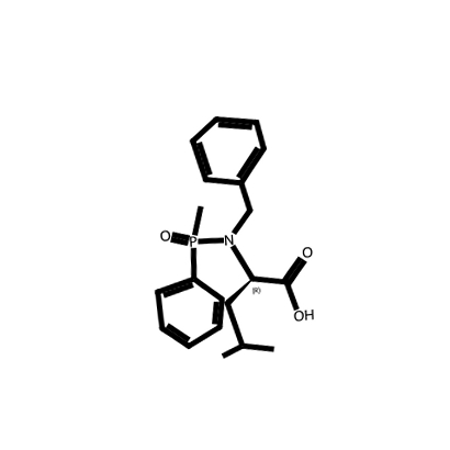 CC(C)C[C@H](C(=O)O)N(Cc1ccccc1)P(C)(=O)c1ccccc1